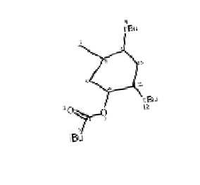 CCC(C)C(=O)OC1CC(C)C(C(C)(C)C)CC1C(C)(C)C